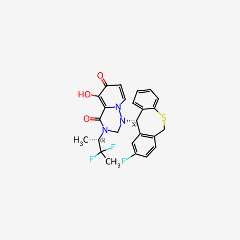 C[C@H](N1CN([C@H]2c3cc(F)ccc3CSc3ccccc32)n2ccc(=O)c(O)c2C1=O)C(C)(F)F